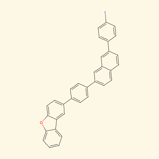 Ic1ccc(-c2ccc3ccc(-c4ccc(-c5ccc6oc7ccccc7c6c5)cc4)cc3c2)cc1